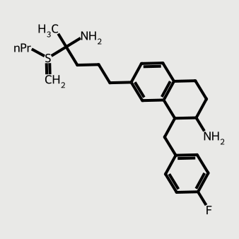 C=S(CCC)C(C)(N)CCCc1ccc2c(c1)C(Cc1ccc(F)cc1)C(N)CC2